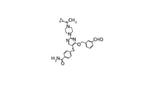 C[C@@H](C1CC1)N1CCN(c2ncc(Sc3ccc(C(N)=O)cc3)c(OCc3cccc(C=O)c3)n2)CC1